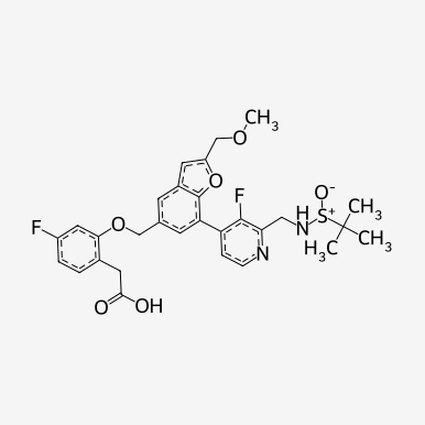 COCc1cc2cc(COc3cc(F)ccc3CC(=O)O)cc(-c3ccnc(CN[S+]([O-])C(C)(C)C)c3F)c2o1